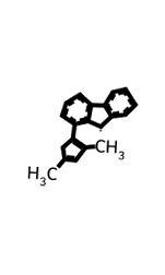 CC1=CC(C)=C(c2cccc3c2[CH]c2ccccc2-3)C1